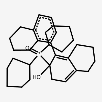 O=P(C1CCCCC1)(C1CCCCC1)C1(O)CC=C2CCCCC2=C1c1cccc2c1CCCC2